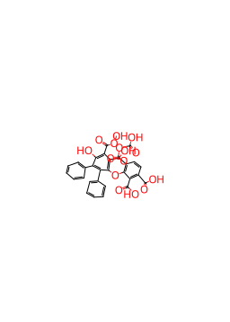 O=C(O)OC(=O)c1c(Oc2c(C(=O)O)ccc(C(=O)O)c2C(=O)O)c(-c2ccccc2)c(-c2ccccc2)c(O)c1C(=O)OO